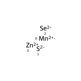 [Mn+2].[S-2].[Se-2].[Zn+2]